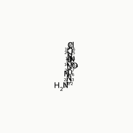 N[C@H]1CCN(c2ccc(N3Cc4cn(-c5ccc(Cl)cc5)nc4C3=O)cn2)C1